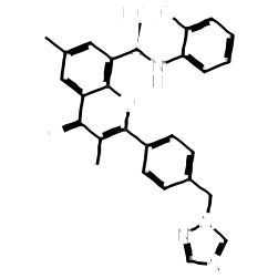 Cc1cc([C@@H](C)Nc2ccccc2C(=O)O)c2oc(-c3ccc(Cn4cncn4)cc3)c(C)c(=O)c2c1